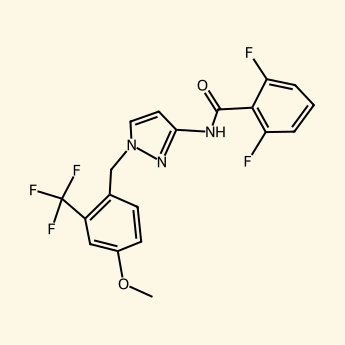 COc1ccc(Cn2ccc(NC(=O)c3c(F)cccc3F)n2)c(C(F)(F)F)c1